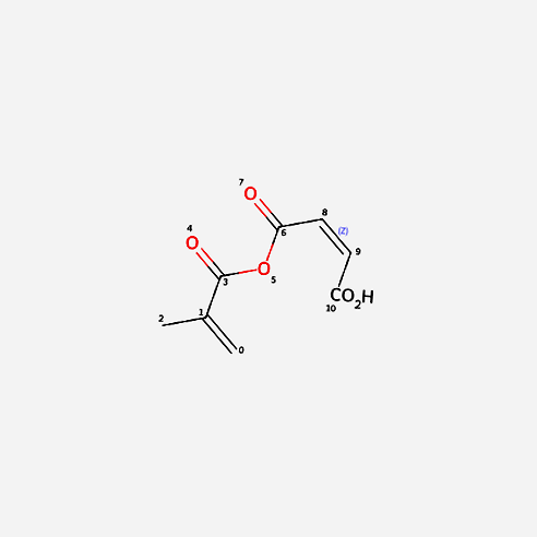 C=C(C)C(=O)OC(=O)/C=C\C(=O)O